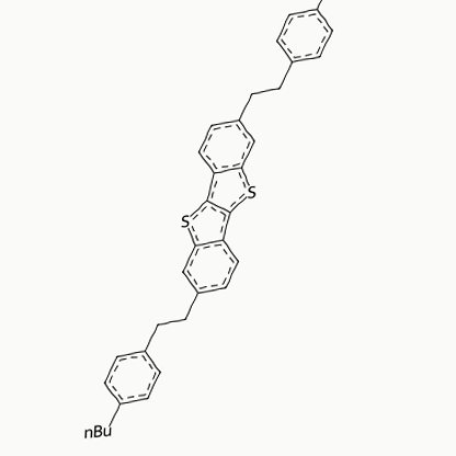 CCCCc1ccc(CCc2ccc3c(c2)sc2c4ccc(CCc5ccc(CCCC)cc5)cc4sc32)cc1